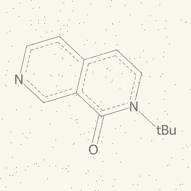 CC(C)(C)n1ccc2ccncc2c1=O